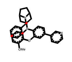 COc1cccc2c1Oc1cc(-c3cccnc3)ccc1N2C1CC2CCC(C1)N2Cc1ccccn1